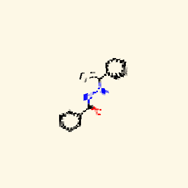 O=C(NNC(c1ccccc1)C(F)(F)F)c1ccccc1